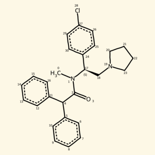 CN(C(=O)C(c1ccccc1)c1ccccc1)[C@H](CN1CCCC1)c1ccc(Cl)cc1